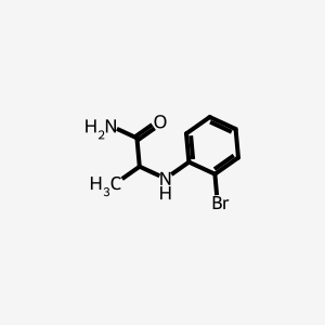 CC(Nc1ccccc1Br)C(N)=O